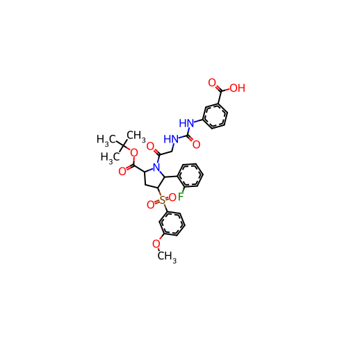 COc1cccc(S(=O)(=O)C2CC(C(=O)OC(C)(C)C)N(C(=O)CNC(=O)Nc3cccc(C(=O)O)c3)C2c2ccccc2F)c1